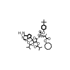 CC(C)C(=O)O[C@H]1[C@@H](OC(=O)C(C)C)[C@](C)(c2ccc3c(N)ncnn23)O[C@@H]1COP(=O)(N[C@@H](C)C(=O)OC1CCCCCCC1)Oc1ccc(C(C)(C)C)cc1